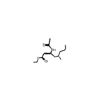 CCC[C@@H](C)C/C(=C\C(=O)OCC)NC(C)=O